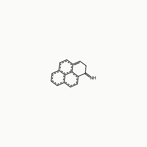 N=C1CC=c2ccc3cccc4ccc1c2c43